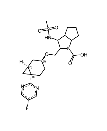 CS(=O)(=O)NC1C2CCCC2N(C(=O)O)C1CO[C@H]1CC[C@@]2(c3ncc(F)cn3)C[C@H]2C1